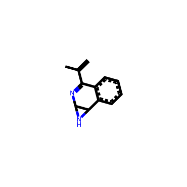 C=C(C)C1=NC2NC2c2ccccc21